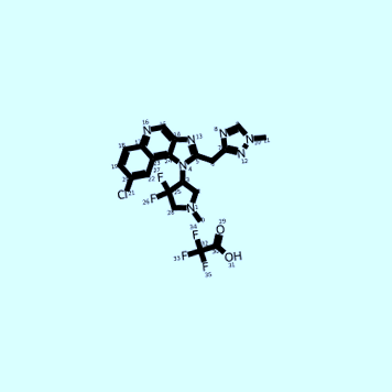 CN1CC(n2c(Cc3ncn(C)n3)nc3cnc4ccc(Cl)cc4c32)C(F)(F)C1.O=C(O)C(F)(F)F